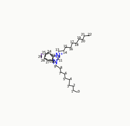 CCCCCCCCCCn1c[n+](CCCCCCCCCC)c2ccccc21.[I-]